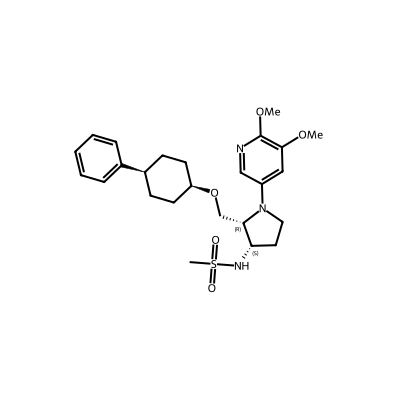 COc1cc(N2CC[C@H](NS(C)(=O)=O)[C@@H]2CO[C@H]2CC[C@@H](c3ccccc3)CC2)cnc1OC